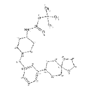 CC(C)(C)OC(=O)NC1CCN(Sc2cccc(N3CCC4(CC3)OCCO4)c2)CC1